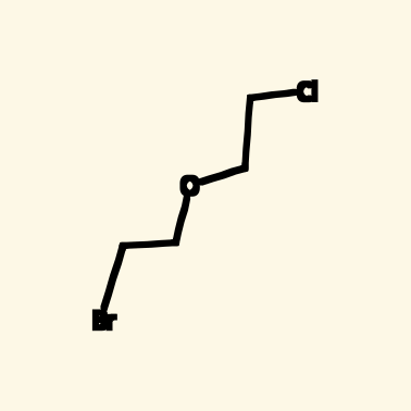 ClCCOCCBr